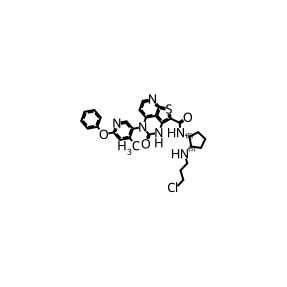 Cc1cc(Oc2ccccc2)ncc1N1C(=O)Nc2c(C(=O)N[C@@H]3CCC[C@@H]3NCCCCl)sc3nccc1c23